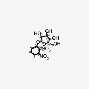 O=[N+]([O-])c1cccc(O[C@H]2O[C@H](CO)[C@@H](O)[C@H](O)[C@@H]2O)c1[N+](=O)[O-]